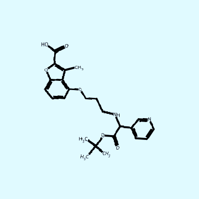 Cc1c(C(=O)O)oc2cccc(OCCCNC(C(=O)OC(C)(C)C)c3cccnc3)c12